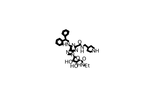 CCNC(=O)[C@H]1O[C@@H](n2cnc3c(NCC(c4ccccc4)c4ccccc4)nc(C(=O)NCC4CCNCC4)nc32)[C@@H](O)[C@@H]1O